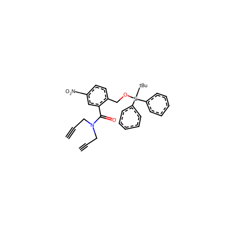 C#CCN(CC#C)C(=O)c1cc([N+](=O)[O-])ccc1CO[Si](c1ccccc1)(c1ccccc1)C(C)(C)C